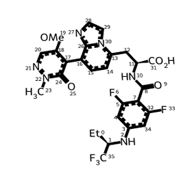 CC[C@@H](Nc1cc(F)c(C(=O)N[C@@H](Cc2ccc(-c3c(OC)cnn(C)c3=O)c3nccn23)C(=O)O)c(F)c1)C(F)(F)F